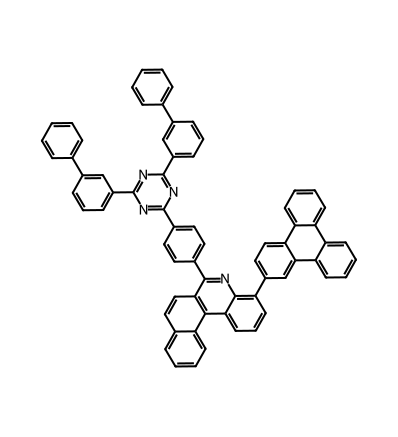 c1ccc(-c2cccc(-c3nc(-c4ccc(-c5nc6c(-c7ccc8c9ccccc9c9ccccc9c8c7)cccc6c6c5ccc5ccccc56)cc4)nc(-c4cccc(-c5ccccc5)c4)n3)c2)cc1